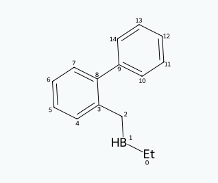 CCBCc1ccccc1-c1ccccc1